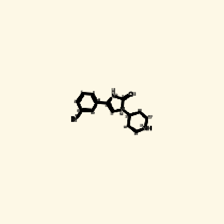 O=c1[nH]c(-c2cccc(Br)c2)cn1C1CCNCC1